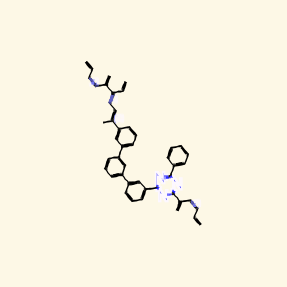 C=C/C=C\C(=C)/C(C=C)=C/C=C(\C)c1cccc(-c2cccc(-c3cccc(-c4nc(C(=C)/C=C\C=C)nc(-c5ccccc5)n4)c3)c2)c1